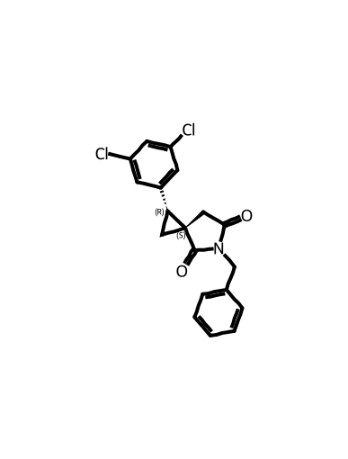 O=C1C[C@]2(C[C@@H]2c2cc(Cl)cc(Cl)c2)C(=O)N1Cc1ccccc1